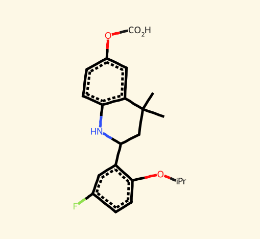 CC(C)Oc1ccc(F)cc1C1CC(C)(C)c2cc(OC(=O)O)ccc2N1